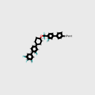 CCCCCc1ccc(-c2ccc(C(F)(F)OC3CCC(c4ccc(-c5cc(F)c(F)c(F)c5)c(F)c4)CC3)c(F)c2)cc1